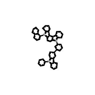 c1ccc(-n2c3ccccc3c3cc(-c4cccc(-n5c6ccccc6c6c7c8ccccc8n(-c8cccc9ccccc89)c7ccc65)c4)ccc32)cc1